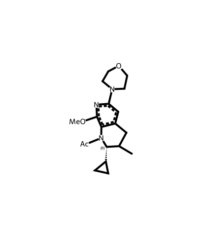 COc1nc(N2CCOCC2)cc2c1N(C(C)=O)[C@@H](C1CC1)C(C)C2